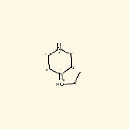 C1CNCCN1.CCO